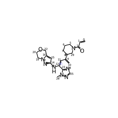 C=CC(=O)N1CCC[C@H](C(=C)/C=C(/Nc2cc3n(n2)CCOC3)c2ncnn2C)C1